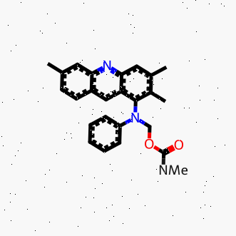 CNC(=O)OCN(c1ccccc1)c1c(C)c(C)cc2nc3cc(C)ccc3cc12